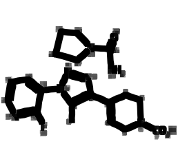 Cc1c(C2=CCN(C(=O)O)CC2)nnn1-c1cccnc1F.NC(=O)N1CCCC1